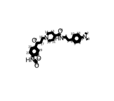 CN(C)c1ccc(CCNC(=O)C2CCN(CCC(=O)c3ccc4[nH]c(=O)oc4c3)CC2)cc1